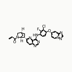 C=CC(=O)N1C[C@H]2C[C@H](c3ccc4ncnc(Nc5ccc(Oc6ccn7ncnc7c6)c(Cl)c5F)c4n3)[C@@H]1C2